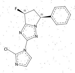 F[C@H]1C[C@@H](c2ccccc2)n2nc(-n3ccnc3Cl)nc21